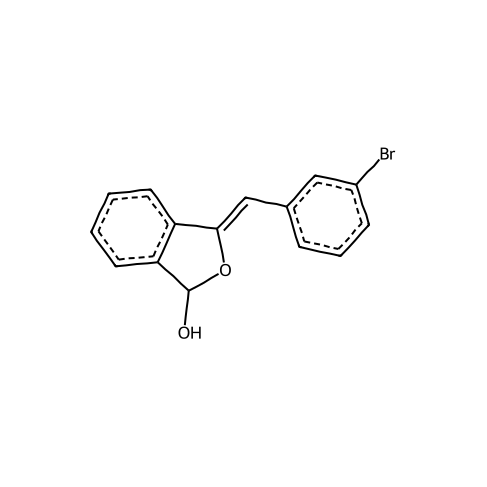 OC1O/C(=C\c2cccc(Br)c2)c2ccccc21